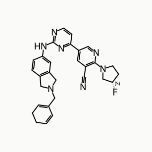 N#Cc1cc(-c2ccnc(Nc3ccc4c(c3)CN(CC3=CCCC=C3)C4)n2)cnc1N1CC[C@H](F)C1